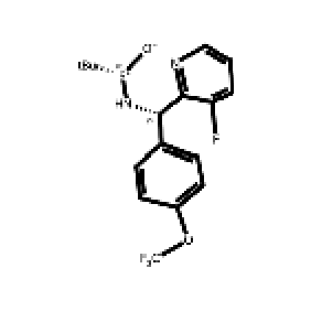 CC(C)(C)[S@+]([O-])N[C@@H](c1ccc(OC(F)(F)F)cc1)c1ncccc1F